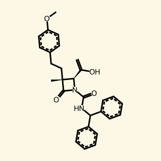 C=C(O)[C@H]1N(C(=O)NC(c2ccccc2)c2ccccc2)C(=O)[C@]1(C)CCc1ccc(OC)cc1